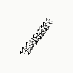 FCC(F)(F)C(F)(F)C(F)(F)C(F)(F)C(F)(F)C(F)(F)C(F)(F)C(F)(F)C(F)(F)C(F)(F)C(F)(F)[C](F)F